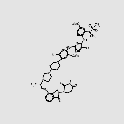 CCc1cc(Nc2ncc(Cl)c(Nc3ccc(OC)cc3N(C)S(C)(=O)=O)n2)c(OC)cc1N1CCC(N2CCN([C@@H](C)COc3cccc4c3CN(C3CCC(=O)NC3=O)C4=O)CC2)CC1